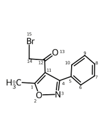 Cc1onc(-c2ccccc2)c1C(=O)CBr